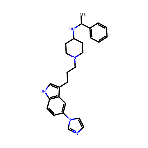 CC(NC1CCN(CCCc2c[nH]c3ccc(-n4ccnc4)cc23)CC1)c1ccccc1